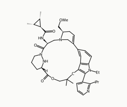 CCn1c(-c2cccnc2C(C)C)c2c3cc(ccc31)C1=CC[C@H](COC)N(C1)C[C@H](NC(=O)[C@H]1[C@H](C)[C@@H]1C)C(=O)N1CCC[C@H](N1)C(=O)OCC(C)(C)C2